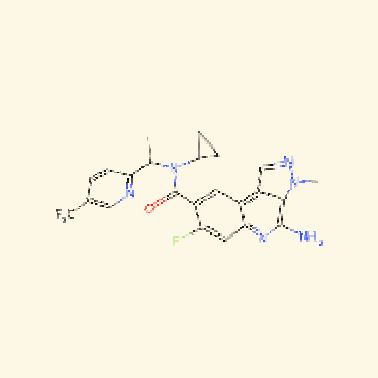 CC(c1ccc(C(F)(F)F)cn1)N(C(=O)c1cc2c(cc1F)nc(N)c1c2cnn1C)C1CC1